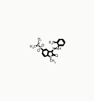 CN1C(=O)C(=NNc2ccccc2[N+](=O)[O-])c2cc(S(=O)(=O)N(C)C)ccc21